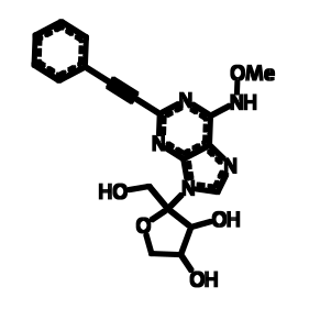 CONc1nc(C#Cc2ccccc2)nc2c1ncn2C1(CO)OCC(O)C1O